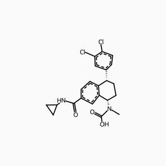 CN(C(=O)O)[C@H]1CC[C@@H](c2ccc(Cl)c(Cl)c2)c2ccc(C(=O)NC3CC3)cc21